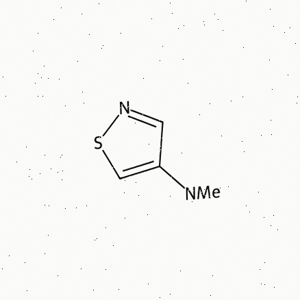 CNc1cnsc1